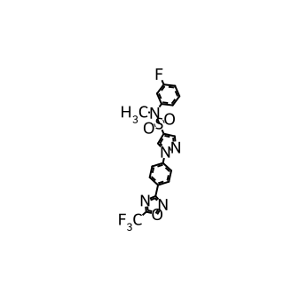 CN(c1cccc(F)c1)S(=O)(=O)c1cnn(-c2ccc(-c3noc(C(F)(F)F)n3)cc2)c1